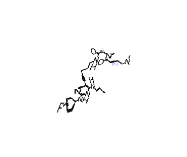 CCCNc1nc(Nc2ccc(F)cc2)ncc1C#CCCCNC(=O)[C@H](C)N(C)C(=O)/C=C/CN(C)C